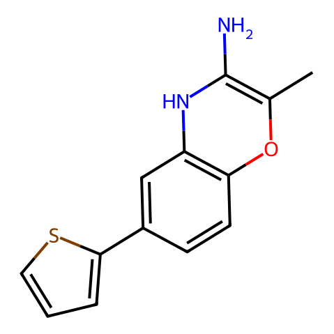 CC1=C(N)Nc2cc(-c3cccs3)ccc2O1